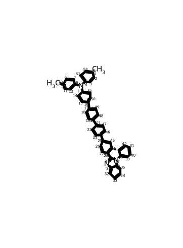 Cc1ccc(N(c2ccc(C)cc2)c2ccc(-c3ccc(-c4ccc(-c5ccc(-c6nc7ccccc7n6-c6ccccc6)cc5)cc4)cc3)cc2)cc1